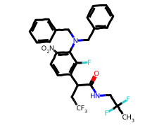 CC(F)(F)CNC(=O)C(CC(F)(F)F)c1ccc([N+](=O)[O-])c(N(Cc2ccccc2)Cc2ccccc2)c1F